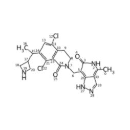 Cc1[nH]c(=O)c(CN2CCc3c(Cl)cc(C(C)C4CNC4)c(Cl)c3C2=O)c2[nH]ncc12